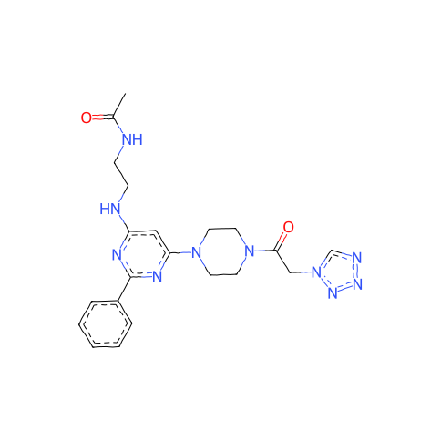 CC(=O)NCCNc1cc(N2CCN(C(=O)Cn3cnnn3)CC2)nc(-c2ccccc2)n1